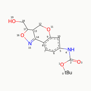 CC(C)(C)OC(=O)Nc1ccc2c(c1)OCC1C2=NOC1CO